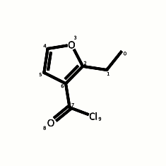 CCc1occc1C(=O)Cl